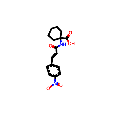 O=C(C=Cc1ccc([N+](=O)[O-])cc1)NC1(C(=O)O)CCCCC1